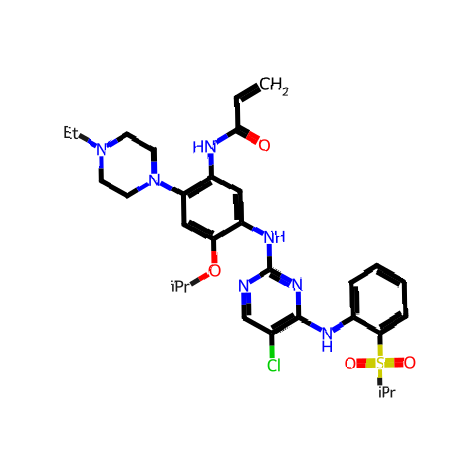 C=CC(=O)Nc1cc(Nc2ncc(Cl)c(Nc3ccccc3S(=O)(=O)C(C)C)n2)c(OC(C)C)cc1N1CCN(CC)CC1